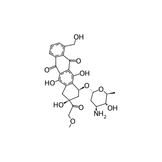 COCC(=O)[C@]1(O)Cc2c(O)c3c(c(O)c2[C@@H](O[C@H]2C[C@H](N)[C@H](O)[C@H](C)O2)C1)C(=O)c1c(CO)cccc1C3=O